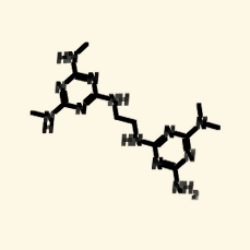 CNc1nc(NC)nc(NCCNc2nc(N)nc(N(C)C)n2)n1